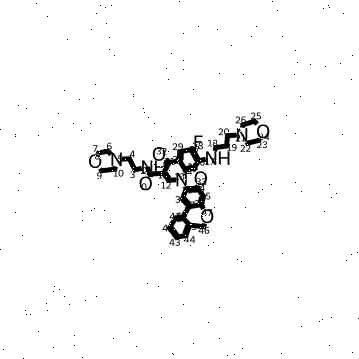 O=C(NCCN1CCOCC1)c1cn2c3c(c(NCCCN4CCOCC4)c(F)cc3c1=O)Oc1cc3c(cc1-2)-c1ccccc1CO3